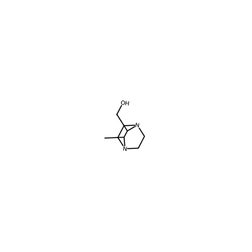 CC1C(CO)N2CCN1CC2